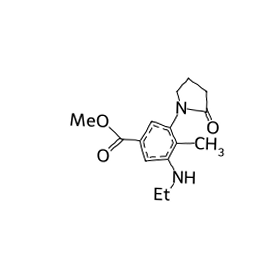 CCNc1cc(C(=O)OC)cc(N2CCCC2=O)c1C